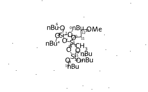 CCCCO[Si](OCCCC)(OCCCC)O[Si](C)(OCCOC)O[Si](OCCCC)(OCCCC)OCCCC